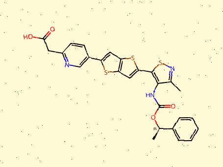 Cc1nsc(-c2cc3sc(-c4ccc(CC(=O)O)nc4)cc3s2)c1NC(=O)O[C@H](C)c1ccccc1